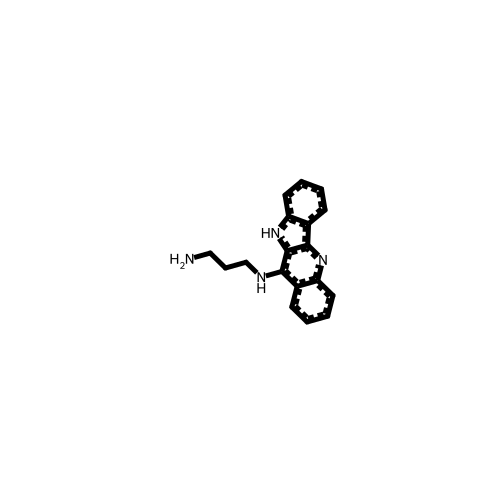 NCCCNc1c2ccccc2nc2c1[nH]c1ccccc12